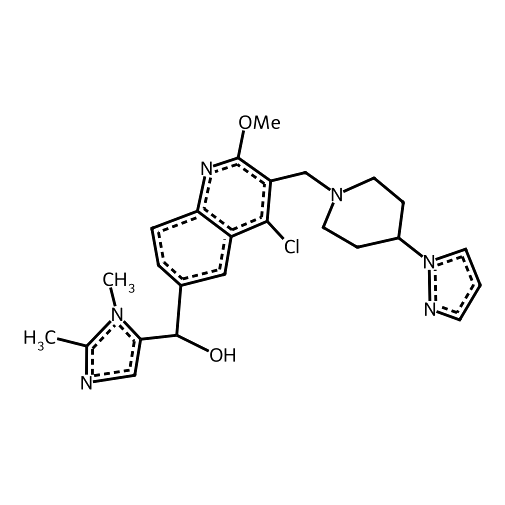 COc1nc2ccc(C(O)c3cnc(C)n3C)cc2c(Cl)c1CN1CCC(n2cccn2)CC1